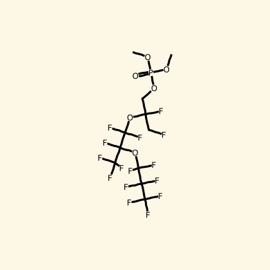 COP(=O)(OC)OCC(F)(CF)OC(F)(F)C(F)(OC(F)(F)C(F)(F)C(F)(F)F)C(F)(F)F